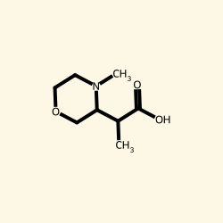 CC(C(=O)O)C1COCCN1C